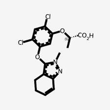 C[C@H](Oc1cc(Oc2c3c(nn2C)C=CCC3)c(Cl)cc1Cl)C(=O)O